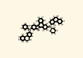 C1=CC[C@@H](N(c2ccc3ccc4ccccc4c3c2)c2ccc3c(c2)c2ccccc2c2c4ccc(N(c5ccccc5)c5ccc6c(c5)-c5ccccc5CC6)cc4sc32)C=C1